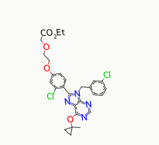 CCOC(=O)COCCOc1ccc(-c2nc3c(OC4(C)CC4)ncnc3n2Cc2cccc(Cl)c2)c(Cl)c1